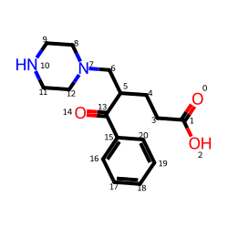 O=C(O)CCC(CN1CCNCC1)C(=O)c1ccccc1